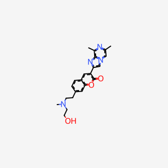 Cc1cn2cc(-c3cc4ccc(CCN(C)CCO)cc4oc3=O)nc2c(C)n1